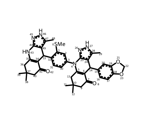 CSc1cc(N2C3=C(C(=O)CC(C)(C)C3)C(c3ccc4c(c3)OCO4)c3c2n[nH]c3C)ccc1C1C2=C(CC(C)(C)CC2=O)Nc2n[nH]c(C)c21